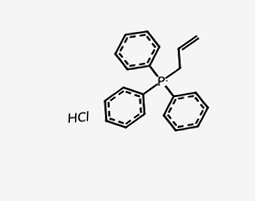 C=CC[P](c1ccccc1)(c1ccccc1)c1ccccc1.Cl